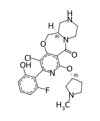 CN1CC[C@@H](Oc2nc(-c3c(O)cccc3F)c(Cl)c3c2C(=O)N2CCNC[C@@H]2CO3)C1